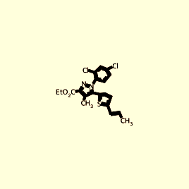 C/C=C/c1ccc(-c2c(C)c(C(=O)OCC)nn2-c2ccc(Cl)cc2Cl)s1